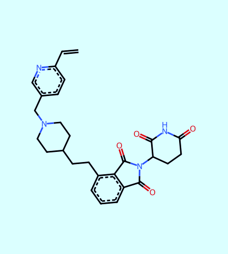 C=Cc1ccc(CN2CCC(CCc3cccc4c3C(=O)N(C3CCC(=O)NC3=O)C4=O)CC2)cn1